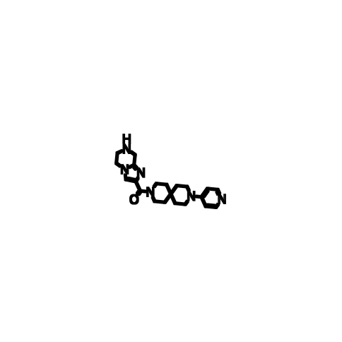 O=C(c1cn2c(n1)CNCC2)N1CCC2(CC1)CCN(c1ccncc1)CC2